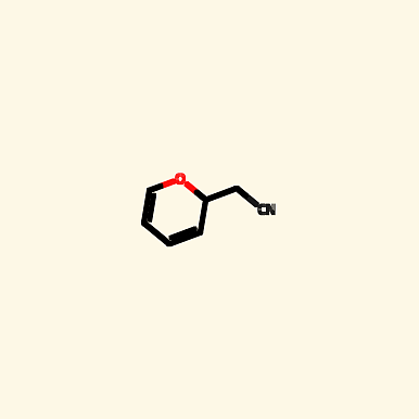 N#CCC1C=CC=CO1